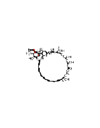 C[C@H]1C[C@H](O)[C@@H](C)/C=C/C=C/C=C/C=C/C=C/C=C/C=C/C(O[C@@H]2OC[C@@H](O)[C@H](N)[C@@H]2O)C[C@@H]2OC(O)(CC(O)CC(O)C(O)CCC(O)CC(O)CC(=O)O1)C[C@H](O)C2C(=O)NCCC1CC1